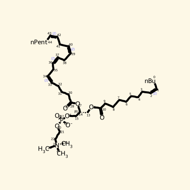 CCCC/C=C\CCCCCCCC(=O)OC[C@H](COP(=O)([O-])OCC[N+](C)(C)C)OC(=O)CCC/C=C\C/C=C\C/C=C\C/C=C\CCCCC